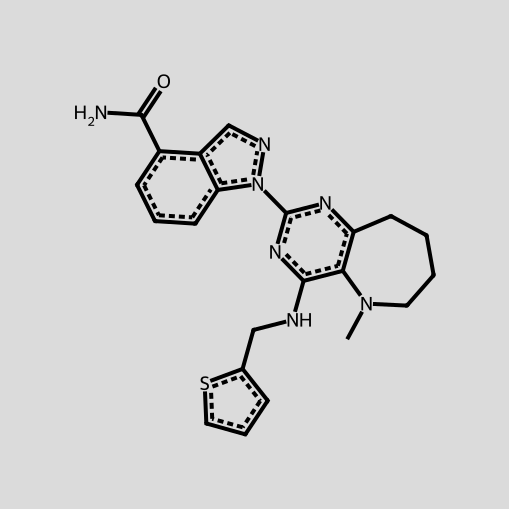 CN1CCCCc2nc(-n3ncc4c(C(N)=O)cccc43)nc(NCc3cccs3)c21